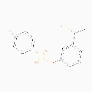 Cc1ccc(S(=O)(=O)Oc2cccc(C(C)O)c2)cc1